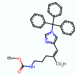 CC(C)(C)OC(=O)NCCCC(=Cc1cn(C(c2ccccc2)(c2ccccc2)c2ccccc2)cn1)C(=O)O